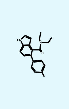 CCN(CC)C(=O)c1c(-c2ccc(C)cc2)ccc2[nH]ccc12